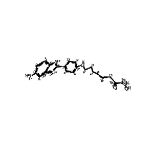 Cc1ccc2nc(-c3ccc(OCCCCCCC(=O)NO)cc3)sc2c1